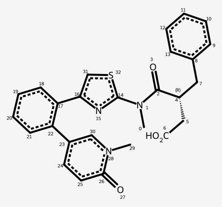 CN(C(=O)[C@@H](CC(=O)O)Cc1ccccc1)c1nc(-c2ccccc2-c2ccc(=O)n(C)c2)cs1